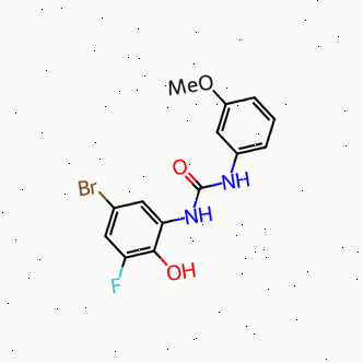 COc1cccc(NC(=O)Nc2cc(Br)cc(F)c2O)c1